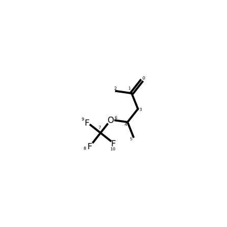 C=C(C)CC(C)OC(F)(F)F